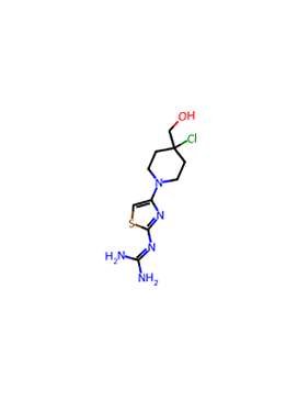 NC(N)=Nc1nc(N2CCC(Cl)(CO)CC2)cs1